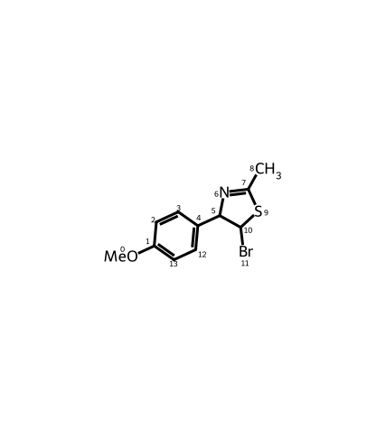 COc1ccc(C2N=C(C)SC2Br)cc1